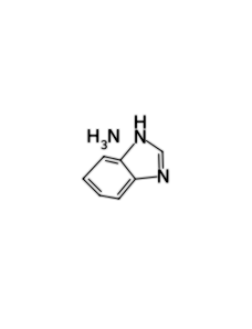 N.c1ccc2[nH]cnc2c1